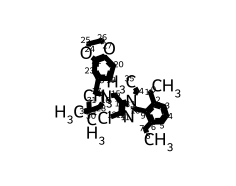 CCc1cccc(CC)c1-c1nc(Cl)c(CN(Cc2ccc3c(c2)OCCO3)CC(C)(C)C)n1CC